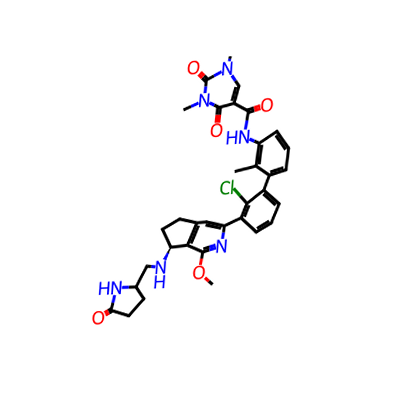 COc1nc(-c2cccc(-c3cccc(NC(=O)c4cn(C)c(=O)n(C)c4=O)c3C)c2Cl)cc2c1[C@@H](NCC1CCC(=O)N1)CC2